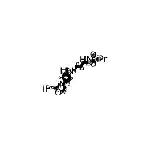 CC(C)C1CN(c2ccc(NCCCCCNS(=O)(=O)C(C)C)cc2)CCO1